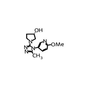 COc1ccc(-n2c(C)nnc2N2CC[C@H](O)C2)cn1